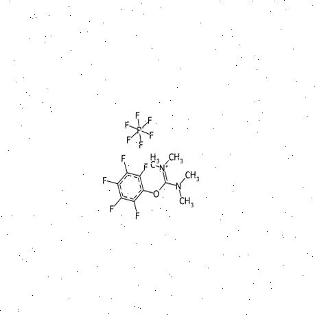 CN(C)C(Oc1c(F)c(F)c(F)c(F)c1F)=[N+](C)C.F[P-](F)(F)(F)(F)F